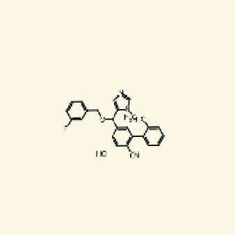 Cc1ccccc1-c1cc(C(OCc2cccc(F)c2)c2cncn2C)ccc1C#N.Cl